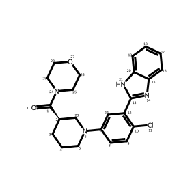 O=C([C@@H]1CCCN(c2ccc(Cl)c(-c3nc4ccccc4[nH]3)c2)C1)N1CCOCC1